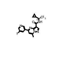 Cc1cc(-c2cncc(F)c2)nc2c(C(=O)N[C@@H](C3CC3)C(F)(F)F)cnn12